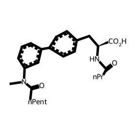 CCCCCC(=O)N(C)c1cccc(-c2ccc(C[C@H](NC(=O)CCC)C(=O)O)cc2)c1